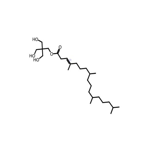 C/C(=C\CC(=O)OCC(CO)(CO)CO)CCCC(C)CCCC(C)CCCC(C)C